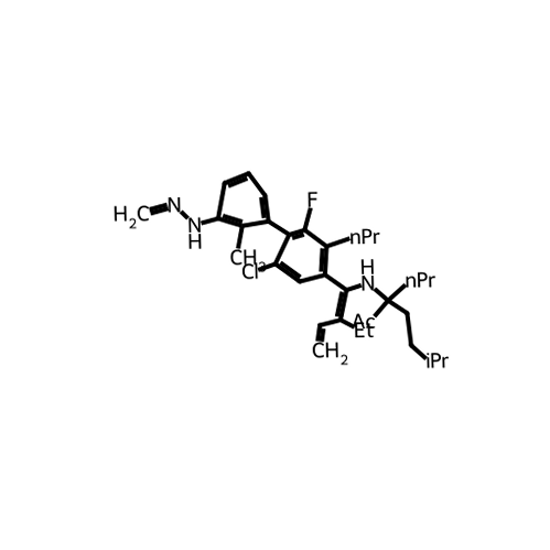 C=C/C(CC)=C(/NC(CCC)(CCC(C)C)C(C)=O)c1cc(Cl)c(-c2cccc(NN=C)c2C)c(F)c1CCC